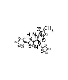 CC1=CC(=O)N(N(N)c2nc(-c3cccs3)nc3sc(-c4ccccc4)cc23)C1=O